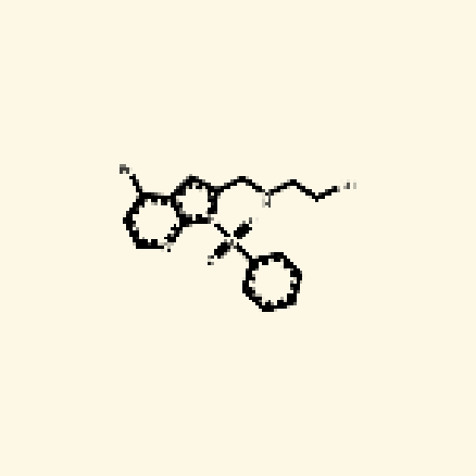 O=S(=O)(c1ccccc1)n1c(CNCCO)cc2c(Br)ccnc21